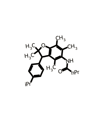 CCCC(=O)Nc1c(C)c(C)c2c(c1C)C(c1ccc(C(C)C)cc1)C(C)(C)O2